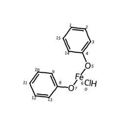 Cl.c1ccc([O][Fe][O]c2ccccc2)cc1